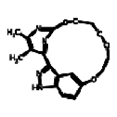 Cc1nc2nc(c1C)-c1n[nH]c3ccc(cc13)OCCOCCCO2